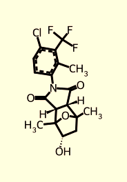 Cc1c(N2C(=O)[C@@H]3[C@H](C2=O)C2(C)C[C@H](O)C3(C)O2)ccc(Cl)c1C(F)(F)F